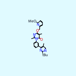 COc1cccc(COc2nc(C)n(-c3cccc(-c4nc(C(C)(C)C)ncc4C)c3)c(=O)c2C)n1